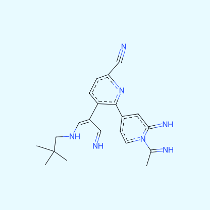 CC(=N)n1ccc(-c2nc(C#N)ccc2/C(C=N)=C/NCC(C)(C)C)cc1=N